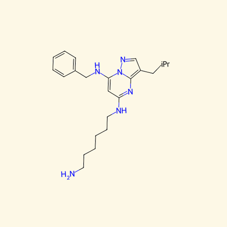 CC(C)Cc1cnn2c(NCc3ccccc3)cc(NCCCCCCN)nc12